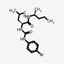 CCC[C@H](C)NC(=O)[C@H](CC(C)C)NC(=O)Nc1ccc(Br)cc1